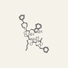 CCCCC[C@H](NC(=O)[C@H](COCc1ccccc1)NC(C)=O)C(=O)N[C@H](Cc1c[nH]c2ccccc12)C(=O)N1CCC(c2ccccc2)CC1